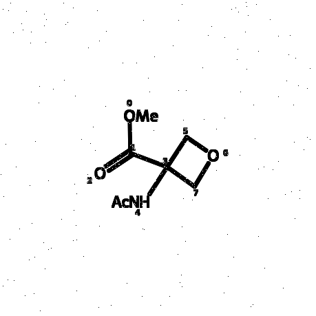 COC(=O)C1(NC(C)=O)COC1